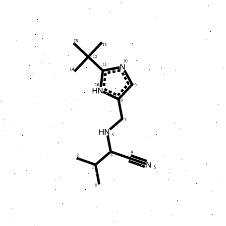 CC(C)C(C#N)NCc1cnc(C(C)(C)C)[nH]1